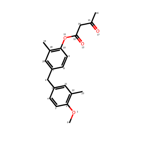 COc1ccc(Cc2ccc(OC(=O)CC(C)=O)c(C)c2)cc1C